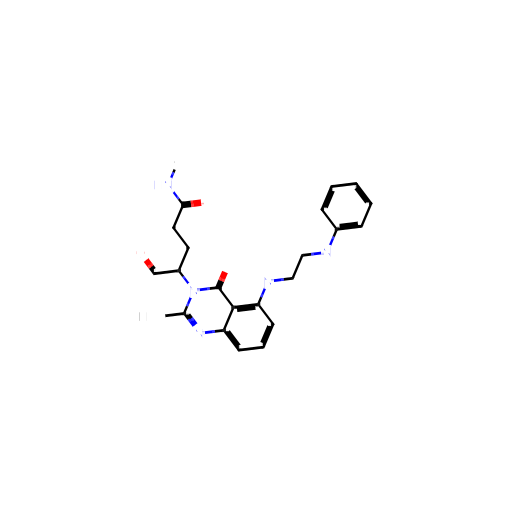 CNC(=O)CCC(C=O)n1c(C)nc2cccc(NCCNc3ccccc3)c2c1=O